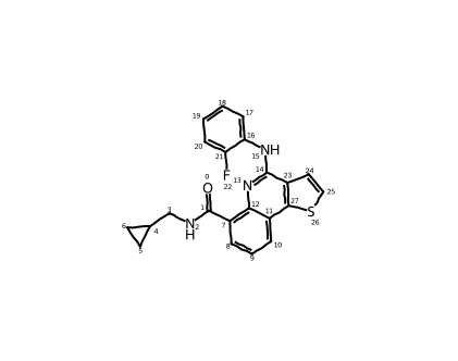 O=C(NCC1CC1)c1cccc2c1nc(Nc1ccccc1F)c1ccsc12